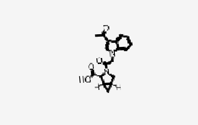 CC(=O)c1cn(CC(=O)N2C[C@@H]3C[C@@H]3[C@H]2C(=O)O)c2ccccc12